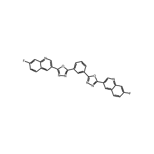 Fc1ccc2cc(-c3nnc(-c4cccc(-c5nnc(-c6cnc7cc(F)ccc7c6)o5)c4)o3)cnc2c1